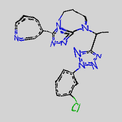 CC(c1nnn(-c2cccc(Cl)c2)n1)N1CCCn2c(-c3cccnc3)nnc21